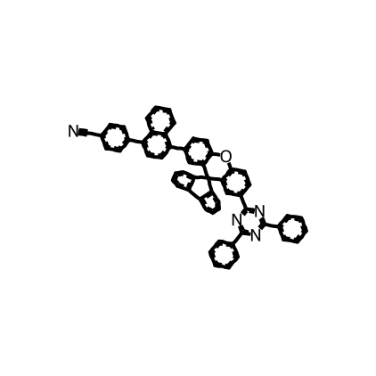 N#Cc1ccc(-c2ccc(-c3ccc4c(c3)C3(c5cc(-c6nc(-c7ccccc7)nc(-c7ccccc7)n6)ccc5O4)c4ccccc4-c4ccccc43)c3ccccc23)cc1